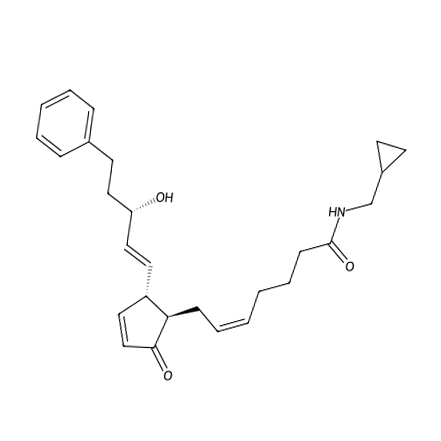 O=C(CCC/C=C\C[C@H]1C(=O)C=C[C@@H]1/C=C/[C@@H](O)CCc1ccccc1)NCC1CC1